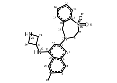 Cc1ccc2nc(N3CCS(=O)(=O)c4ccccc4C3)cc(NC3CNC3)c2c1